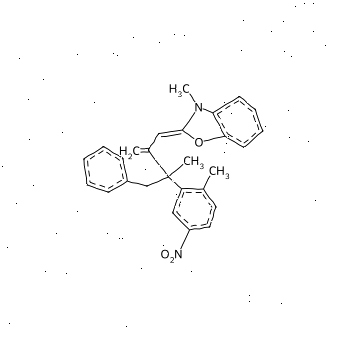 C=C(/C=C1\Oc2ccccc2N1C)C(C)(Cc1ccccc1)c1cc([N+](=O)[O-])ccc1C